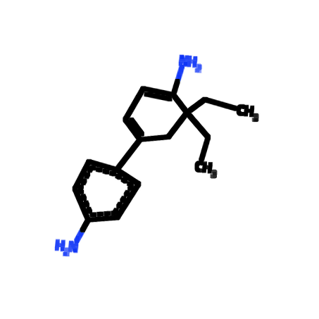 CCC1(CC)CC(c2ccc(N)cc2)=CC=C1N